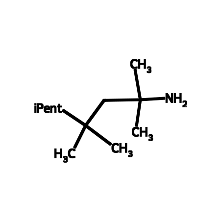 CCCC(C)C(C)(C)CC(C)(C)N